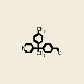 Cc1ccc(C(C)(c2ccncc2)c2ccc(C=O)cc2)cc1